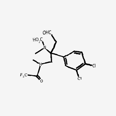 CN(CC(CC=O)(c1ccc(Cl)c(Cl)c1)N(C)C(=O)O)C(=O)C(F)(F)F